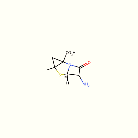 CC12CC1(C(=O)O)N1C(=O)C(N)[C@@H]1S2